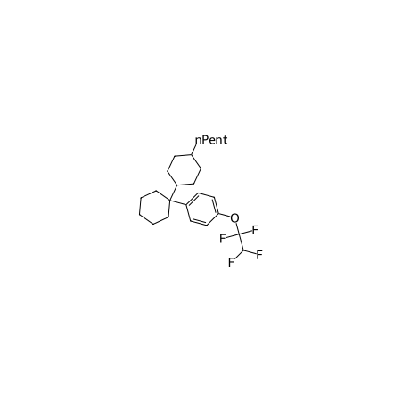 CCCCCC1CCC(C2(c3ccc(OC(F)(F)C(F)F)cc3)CCCCC2)CC1